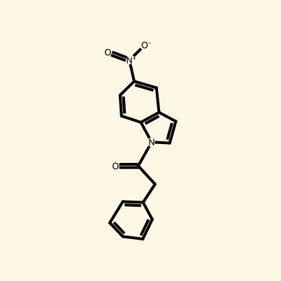 O=C(Cc1ccccc1)n1ccc2cc([N+](=O)[O-])ccc21